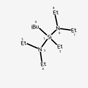 CCC(C)[Si](CC)(N(CC)CC)N(CC)CC